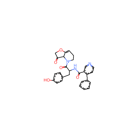 O=C(NC(Cc1ccc(O)cc1)C(=O)N1CCC=C2OCC(=O)C21)c1cnccc1-c1ccccc1